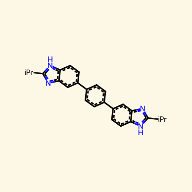 CC(C)c1nc2cc(-c3ccc(-c4ccc5[nH]c(C(C)C)nc5c4)cc3)ccc2[nH]1